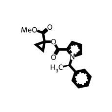 COC(=O)C1(OC(=O)c2cccn2[C@H](C)c2ccccc2)CC1